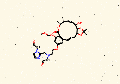 COCOc1cc(OCCN(BC=O)Cc2nccn2BC=O)cc2c1C(=O)O[C@@H](C)[C@H](C)/C=C\C(O)C1OC(C)(C)OC1C/C=C/2